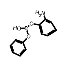 Nc1ccccc1OB(O)Oc1ccccc1